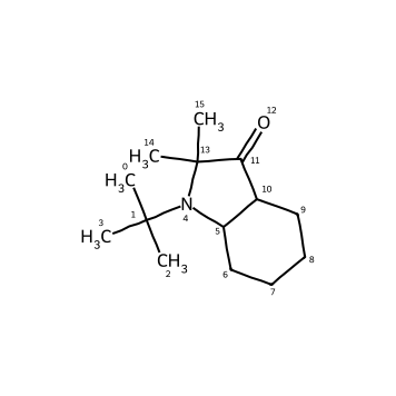 CC(C)(C)N1C2CCCCC2C(=O)C1(C)C